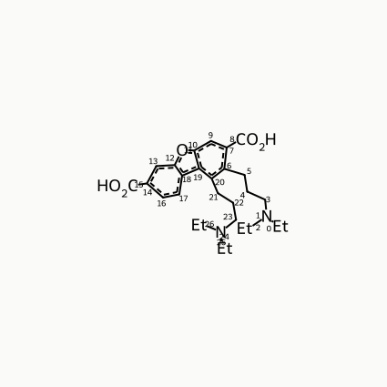 CCN(CC)CCCc1c(C(=O)O)cc2oc3cc(C(=O)O)ccc3c2c1CCCN(CC)CC